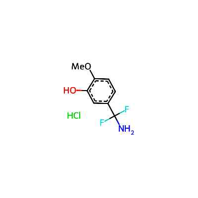 COc1ccc(C(N)(F)F)cc1O.Cl